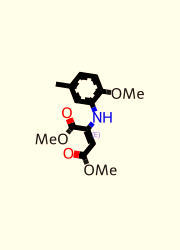 COC(=O)/C=C(/Nc1cc(C)ccc1OC)C(=O)OC